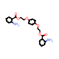 Nc1ccccc1C(=O)OCCOc1ccc(OCCOC(=O)c2ccccc2N)cc1